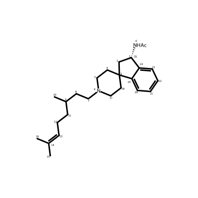 CC(=O)N[C@H]1CC2(CCN(CCC(C)CCC=C(C)C)CC2)c2ccccc21